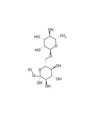 CCO[C@@]1(O)O[C@H](CO[C@@H]2O[C@@H](C)[C@H](O)[C@@H](O)[C@H]2O)[C@@H](O)[C@H](O)[C@H]1O